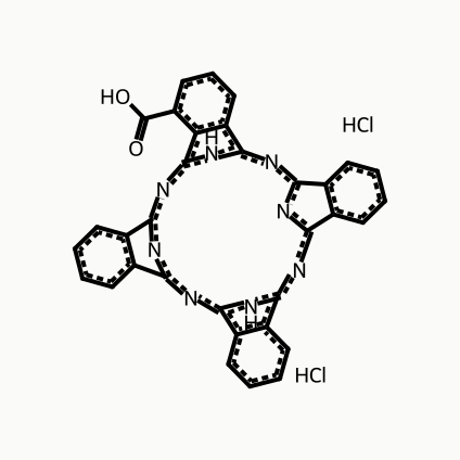 Cl.Cl.O=C(O)c1cccc2c3nc4nc(nc5[nH]c(nc6nc(nc([nH]3)c12)-c1ccccc1-6)c1ccccc51)-c1ccccc1-4